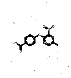 Cc1cnc(Oc2ccc(C(=O)O)cc2)c([N+](=O)[O-])c1